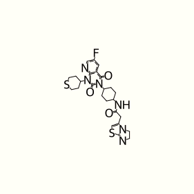 O=C(CC1=CSC2=NCCN12)NC1CCC(n2c(=O)c3cc(F)cnc3n(C3CCSCC3)c2=O)CC1